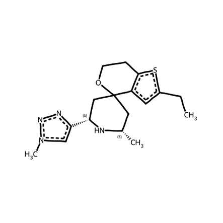 CCc1cc2c(s1)CCOC21C[C@@H](c2cn(C)nn2)N[C@@H](C)C1